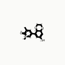 Cc1cc(C2=CC(S)=CC3OCCOC23)cn(C)c1=O